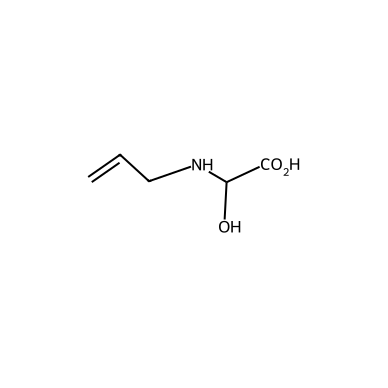 C=CCNC(O)C(=O)O